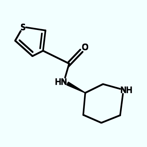 O=C(N[C@@H]1CCCNC1)c1ccsc1